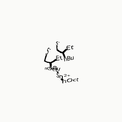 CCCCC(CC)C[S-].CCCCC(CC)C[S-].CCCCCCC[CH2][Sn+2][CH2]CCCCCCC